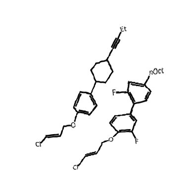 CCC#CC1CCC(c2ccc(OC/C=C/Cl)cc2)CC1.CCCCCCCCc1ccc(-c2ccc(OC/C=C/Cl)c(F)c2)c(F)c1